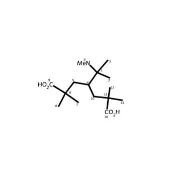 CNC(C)(C)C(CC(C)(C)C(=O)O)CC(C)(C)C(=O)O